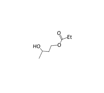 CCC(=O)OCCC(C)O